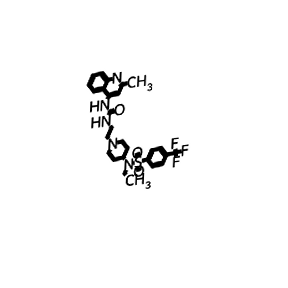 CCN(C1CCN(CCNC(=O)Nc2cc(C)nc3ccccc23)CC1)S(=O)(=O)c1ccc(C(F)(F)F)cc1